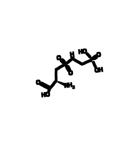 N[C@@H](CS(=O)(=O)NCP(=O)(O)O)C(=O)O